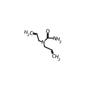 C=CCN(CC=C)C(N)=O